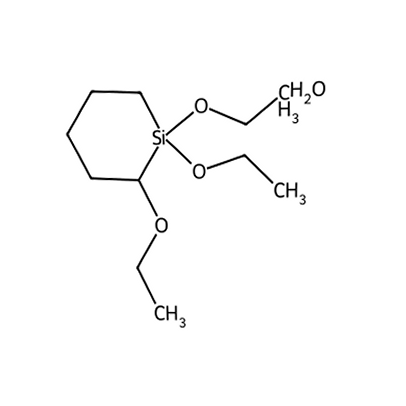 CCOC1CCCC[Si]1(OCC)OCC.O